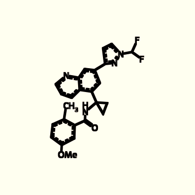 COc1ccc(C)c(C(=O)NC2(c3cc(-c4ccn(C(F)F)n4)cc4ncccc34)CC2)c1